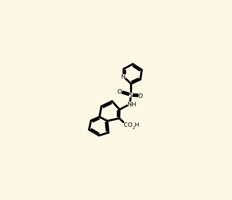 O=C(O)c1c(NS(=O)(=O)c2ccccn2)ccc2ccccc12